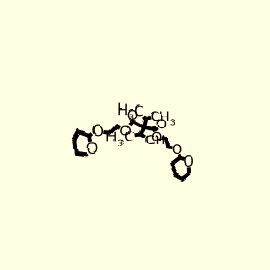 CC(C)C(C(=O)OCCOC1CCCCO1)(C(=O)OCCOC1CCCCO1)C(C)C